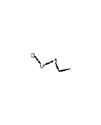 CCPOCl